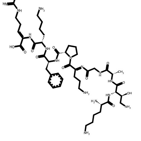 C[C@H](NC(=O)[C@@H](NC(=O)[C@@H](N)CCCCN)[C@@H](O)CN)C(=O)NCC(=O)/N=C(\CCCN)C(=O)N1CCC[C@H]1C(=O)N[C@@H](Cc1ccccc1)C(=O)N[C@@H](CCCCN)C(=O)N/C(=C\CCNC(=N)N)C(=O)O